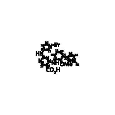 COc1c(Nc2nc(Nc3cnn(C(C)C)c3)ncc2C(=O)O)cccc1-c1ncn(C)n1